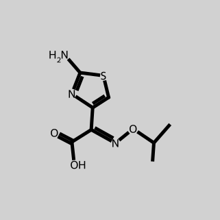 CC(C)O/N=C(/C(=O)O)c1csc(N)n1